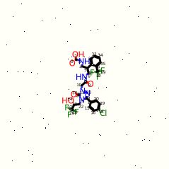 O=C(O)NCC(CNC(=O)Cn1nc(-c2ccc(Cl)cc2)n(C[C@H](O)C(F)(F)F)c1=O)c1ccccc1C(F)(F)F